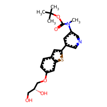 CN(C(=O)OC(C)(C)C)c1cncc(-c2cc3ccc(OC[C@H](O)CO)cc3s2)c1